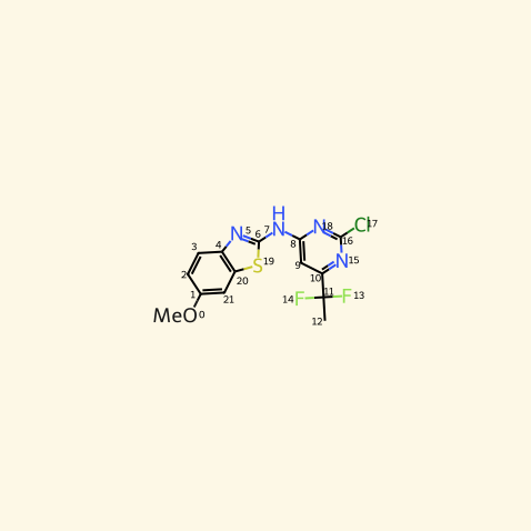 COc1ccc2nc(Nc3cc(C(C)(F)F)nc(Cl)n3)sc2c1